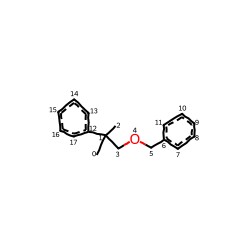 CC(C)(COCc1ccccc1)c1ccccc1